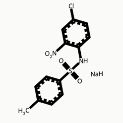 Cc1ccc(S(=O)(=O)Nc2ccc(Cl)cc2[N+](=O)[O-])cc1.[NaH]